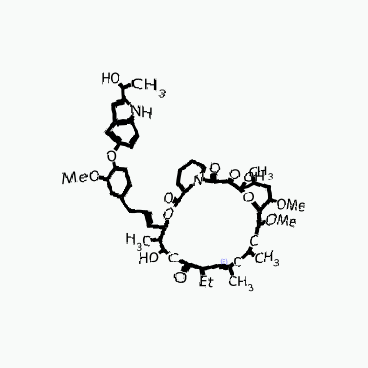 CCC1/C=C(\C)CC(C)CC(OC)C2OC(O)(C(=O)C(=O)N3CCCCC3C(=O)OC(C=CCC3CCC(Oc4ccc5[nH]c(C(C)O)cc5c4)C(OC)C3)C(C)C(O)CC1=O)C(C)CC2OC